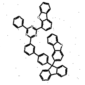 c1ccc(-c2nc(-c3cccc(-c4ccc(C5(c6ccc7sc8ccccc8c7c6)c6ccccc6-c6ccccc65)cc4)c3)nc(-c3cccc4c3oc3ccccc34)n2)cc1